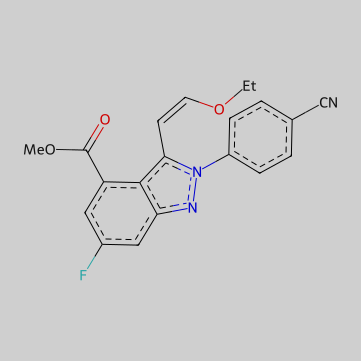 CCO/C=C\c1c2c(C(=O)OC)cc(F)cc2nn1-c1ccc(C#N)cc1